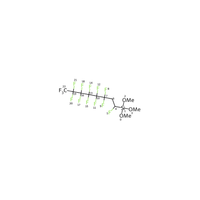 CO[Si](OC)(OC)C(F)CC(F)(F)C(F)(F)C(F)(F)C(F)(F)C(F)(F)C(F)(F)F